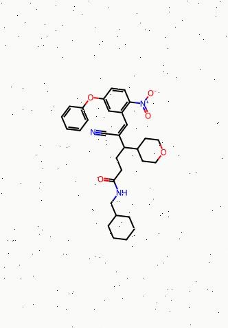 N#CC(=Cc1cc(Oc2ccccc2)ccc1[N+](=O)[O-])C(CCC(=O)NCC1CCCCC1)C1CCOCC1